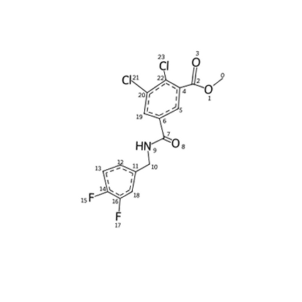 COC(=O)c1cc(C(=O)NCc2ccc(F)c(F)c2)cc(Cl)c1Cl